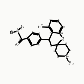 CCN(CC)C(=O)c1ccc(C2CC3(CCN(N)CC3)Oc3cccc(O)c32)cc1